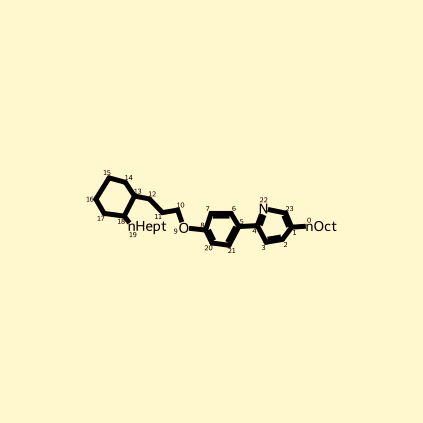 CCCCCCCCc1ccc(-c2ccc(OCCCC3CCCCC3CCCCCCC)cc2)nc1